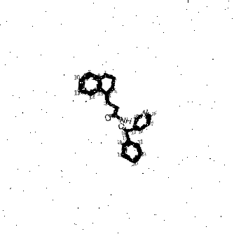 O=C(CCC1CCCc2ccccc21)NOC(c1ccccc1)c1cccnc1